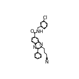 N#CCCCc1nc2cc(C(=O)NCc3cccc(Cl)c3)ccc2nc1-c1ccccc1